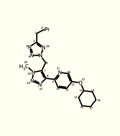 CC(C)Cc1nnn(Cc2c(-c3ccc(OC4CCCCC4)cn3)nnn2C)n1